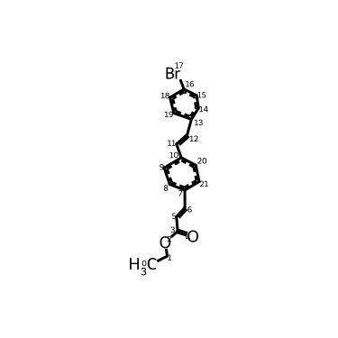 CCOC(=O)/C=C/c1ccc(/C=C/c2ccc(Br)cc2)cc1